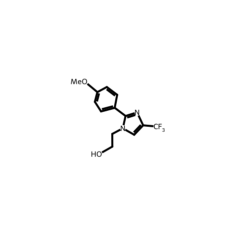 COc1ccc(-c2nc(C(F)(F)F)cn2CCO)cc1